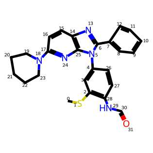 CSc1cc(-n2c(-c3ccccc3)nc3ccc(N4CCCCC4)nc32)ccc1NC=O